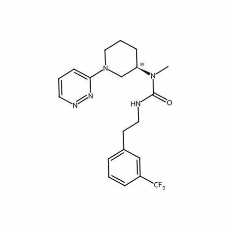 CN(C(=O)NCCc1cccc(C(F)(F)F)c1)[C@@H]1CCCN(c2cccnn2)C1